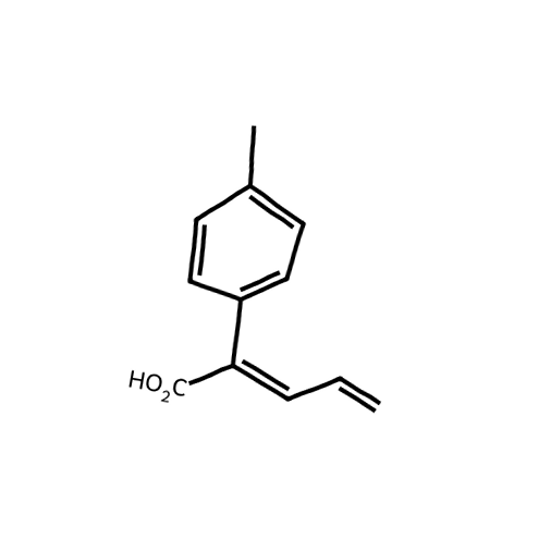 C=C/C=C(/C(=O)O)c1ccc(C)cc1